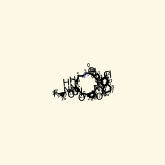 CO[C@H]1/C=C/C[C@H](C)CS(=O)(NC(=O)N[C@@H]2C[C@H]2F)=NC(=O)c2ccc3c(c2)N(C[C@@H]2CC[C@H]21)C[C@@]1(CCCc2cc(Cl)ccc21)CO3